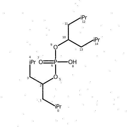 CC(C)CC(CC(C)C)OP(=O)(O)OC(CC(C)C)CC(C)C